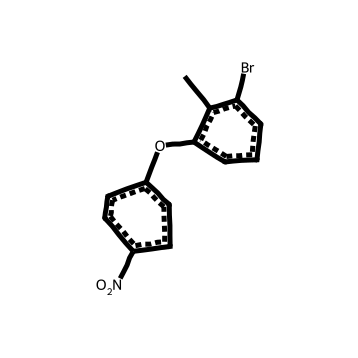 Cc1c(Br)cccc1Oc1ccc([N+](=O)[O-])cc1